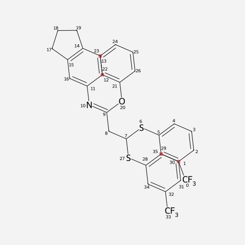 FC(F)(F)c1cccc(SC(C/C(=N/c2ccc3c(c2)CCC3)Oc2ccccc2)Sc2cccc(C(F)(F)F)c2)c1